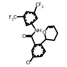 O=C(Nc1cc(C(F)(F)F)cc(C(F)(F)F)c1)c1cc(Cl)ccc1C1CCC=CO1